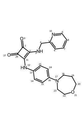 O=c1c(NCc2ccccn2)c(Nc2ccc(N3CCCOCC3)cc2)c1=O